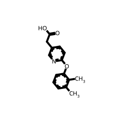 Cc1cccc(Oc2ccc(CC(=O)O)cn2)c1C